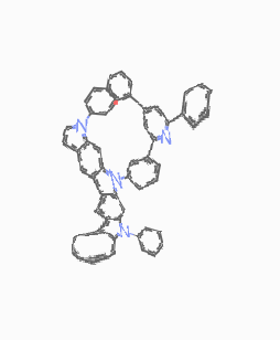 c1ccc(-c2cc(-c3ccccc3)nc(-c3cccc(-n4c5cc6c(ccn6-c6ccccc6)cc5c5cc6c7ccccc7n(-c7ccccc7)c6cc54)c3)c2)cc1